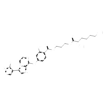 O=C(OCCCOC(=O)[C@@H](O)CCCCO)c1ccc(Oc2nccn3c(-c4conc4C(F)(F)F)cnc23)cc1O